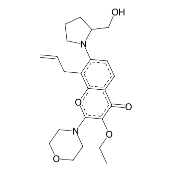 C=CCc1c(N2CCCC2CO)ccc2c(=O)c(OCC)c(N3CCOCC3)oc12